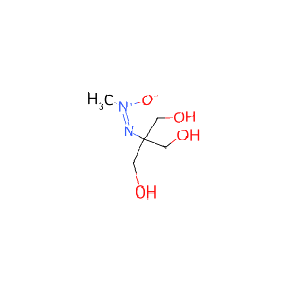 C[N+]([O-])=NC(CO)(CO)CO